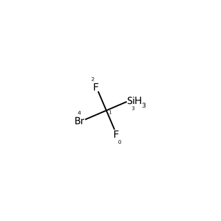 FC(F)([SiH3])Br